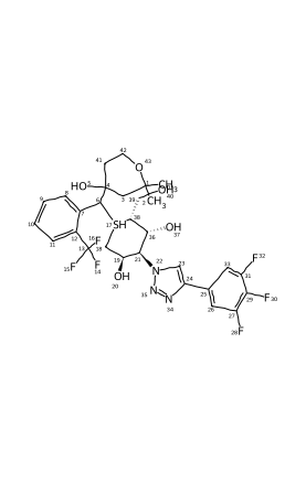 CC1(C)CC(O)(C(c2ccccc2C(F)(F)F)[SH]2C[C@H](O)[C@H](n3cc(-c4cc(F)c(F)c(F)c4)nn3)[C@@H](O)[C@H]2CO)CCO1